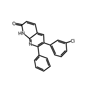 O=c1ccc2cc(-c3cccc(Cl)c3)c(-c3ccccc3)nc2[nH]1